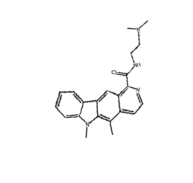 Cc1c2ccnc(C(=O)NCCN(C)C)c2cc2c3ccccc3n(C)c12